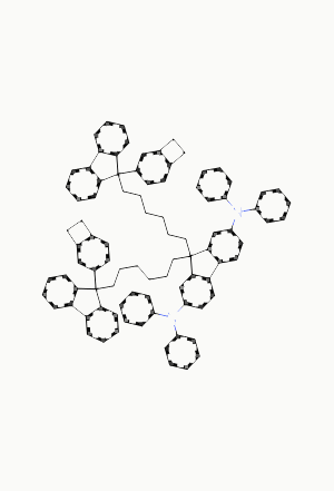 c1ccc(N(c2ccccc2)c2ccc3c(c2)C(CCCCCCC2(c4ccc5c(c4)CC5)c4ccccc4-c4ccccc42)(CCCCCCC2(c4ccc5c(c4)CC5)c4ccccc4-c4ccccc42)c2cc(N(c4ccccc4)c4ccccc4)ccc2-3)cc1